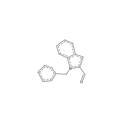 O=Cc1cc2ccccc2n1Cc1ccccc1